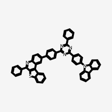 c1ccc(-c2nc(-c3ccc(-c4ccc5nc(-c6ccccc6)c6sc7ccccc7c6c5c4)cc3)nc(-c3ccc(-n4c5ccccc5c5ccccc54)cc3)n2)cc1